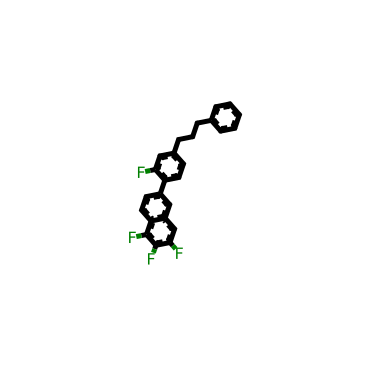 Fc1cc(CCCc2ccccc2)ccc1-c1ccc2c(F)c(F)c(F)cc2c1